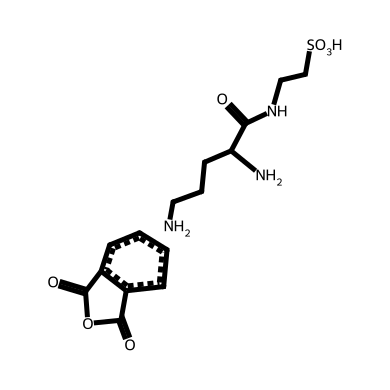 NCCCC(N)C(=O)NCCS(=O)(=O)O.O=C1OC(=O)c2ccccc21